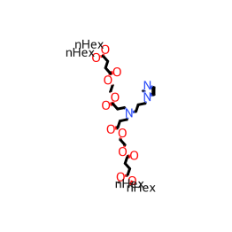 CCCCCCOC(CCC(=O)OCCOC(=O)CCN(CCCn1ccnc1)CCC(=O)OCCOC(=O)CCC(OCCCCCC)OCCCCCC)OCCCCCC